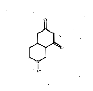 CCN1CCC2CC(=O)CC(=O)C2C1